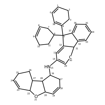 C1=CCCC(C2(C3CC=CCC3)C3=CC(NC4CC=CC5OC6C=CCCC6C45)=CCC3c3ccccc32)=C1